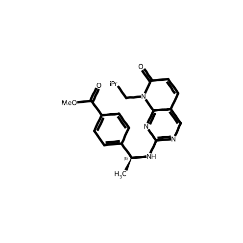 COC(=O)c1ccc([C@H](C)Nc2ncc3ccc(=O)n(CC(C)C)c3n2)cc1